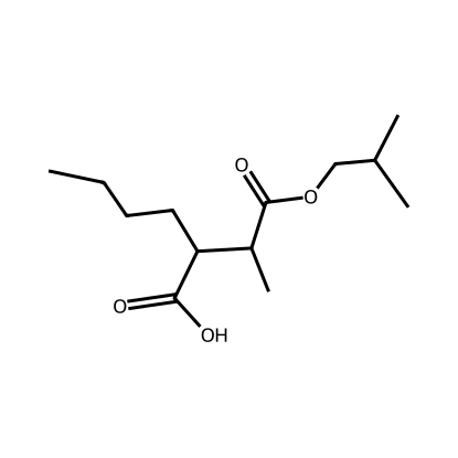 CCCCC(C(=O)O)C(C)C(=O)OCC(C)C